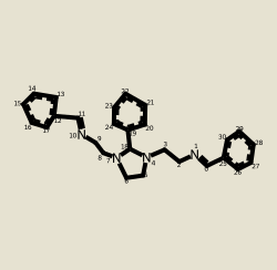 C(=NCCN1CCN(CCN=Cc2ccccc2)C1c1ccccc1)c1ccccc1